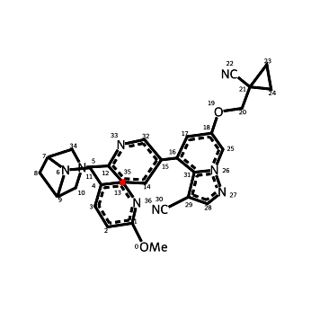 COc1ccc(CN2C3CC2CN(c2ccc(-c4cc(OCC5(C#N)CC5)cn5ncc(C#N)c45)cn2)C3)cn1